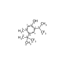 Cc1cc(O)c(C(C)C(F)(F)F)cc1C(C)(C)C(F)(F)F